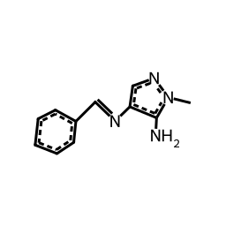 Cn1ncc(N=Cc2ccccc2)c1N